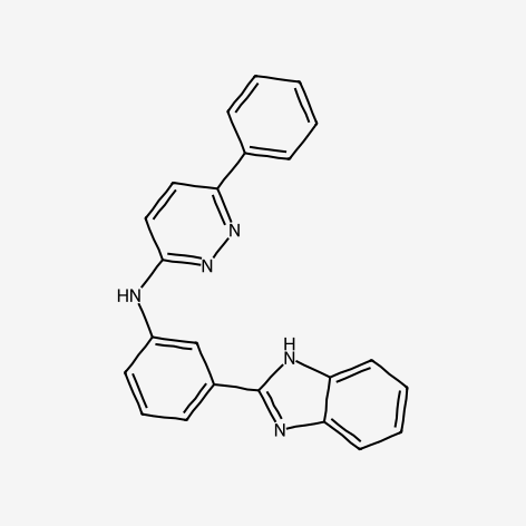 c1ccc(-c2ccc(Nc3cccc(-c4nc5ccccc5[nH]4)c3)nn2)cc1